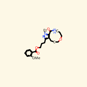 CCn1nc(CCCOC(=O)c2ccccc2OC)c2c1C(=O)NCCCOCCC2